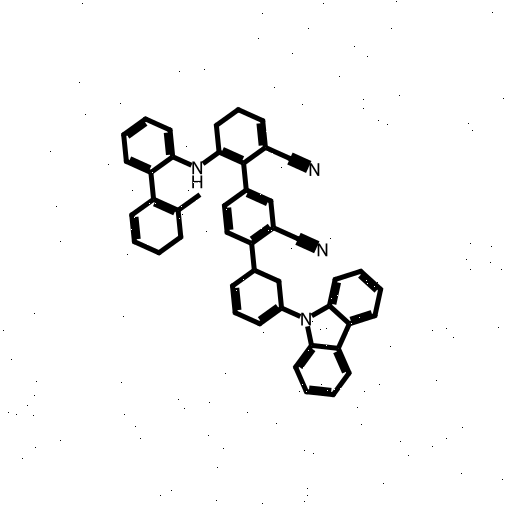 CC1=C(c2ccccc2NC2=C(c3ccc(C4C=CC=C(n5c6ccccc6c6ccccc65)C4)c(C#N)c3)C(C#N)=CCC2)C=CCC1